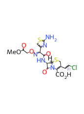 COC(=O)CON=C(C(=O)NC1C(=O)N2C(C(=O)O)=C(/C=C/Cl)CS[C@@H]12)c1csc(N)n1